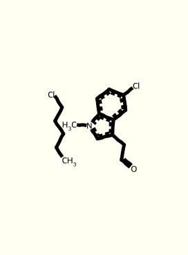 CCCCCCl.Cn1cc(CC=O)c2cc(Cl)ccc21